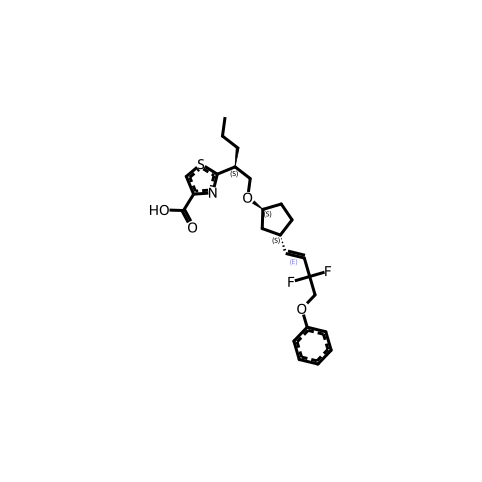 CCC[C@@H](CO[C@H]1CC[C@H](/C=C/C(F)(F)COc2ccccc2)C1)c1nc(C(=O)O)cs1